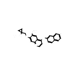 CNC1(COc2cc3nccc(Oc4ccc5ccccc5c4)c3cc2OC)CC1